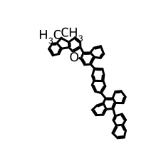 CC1(C)c2ccccc2-c2c1ccc1c2oc2cc(-c3ccc4cc(-c5c6ccccc6c(-c6ccc7ccccc7c6)c6ccccc56)ccc4c3)c3ccccc3c21